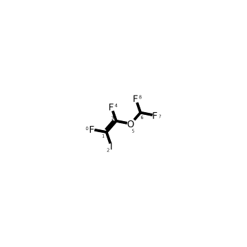 F/C(I)=C(\F)OC(F)F